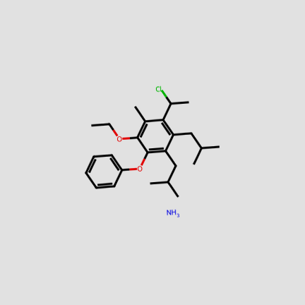 CCOc1c(C)c(C(C)Cl)c(CC(C)C)c(CC(C)C)c1Oc1ccccc1.N